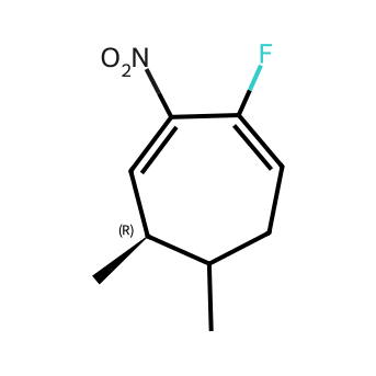 CC1CC=C(F)C([N+](=O)[O-])=C[C@@H]1C